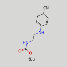 CC(C)(C)OC(=O)NCCNC1=CCC(C#N)C=C1